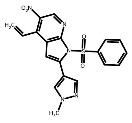 C=Cc1c([N+](=O)[O-])cnc2c1cc(-c1cnn(C)c1)n2S(=O)(=O)c1ccccc1